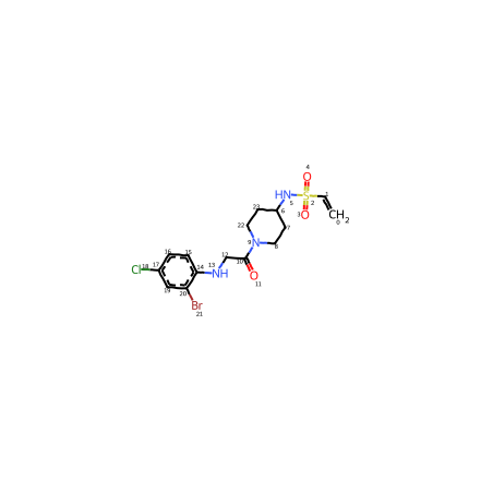 C=CS(=O)(=O)NC1CCN(C(=O)CNc2ccc(Cl)cc2Br)CC1